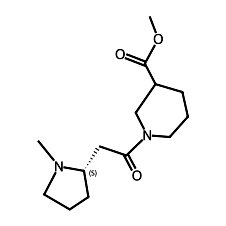 COC(=O)C1CCCN(C(=O)C[C@@H]2CCCN2C)C1